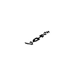 CCCCCC[C@H]1CC[C@H](c2ccc(-c3ccc([C@H]4CC[C@H](CCCC)CC4)cc3)cc2)CC1